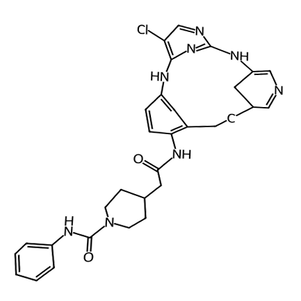 O=C(CC1CCN(C(=O)Nc2ccccc2)CC1)Nc1ccc2cc1CCC1C=NC=C(C1)Nc1ncc(Cl)c(n1)N2